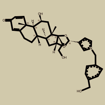 C[C@]12C=CC(=O)C=C1CC[C@@H]1[C@@H]2[C@@H](O)C[C@@]2(C)[C@H]1C[C@H]1O[C@@H](c3ccn(Cc4ccc(CO)cc4)c3)O[C@]12C(=O)CO